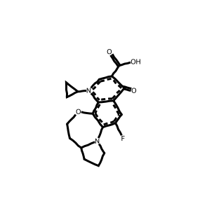 O=C(O)c1cn(C2CC2)c2c3c(c(F)cc2c1=O)N1CCCC1CCO3